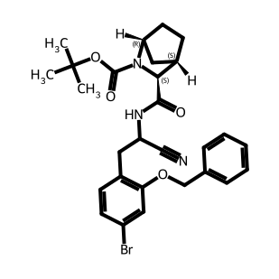 CC(C)(C)OC(=O)N1[C@@H]2CC[C@@H](C2)[C@H]1C(=O)NC(C#N)Cc1ccc(Br)cc1OCc1ccccc1